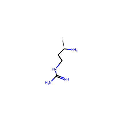 C[C@H](N)CCNC(=N)N